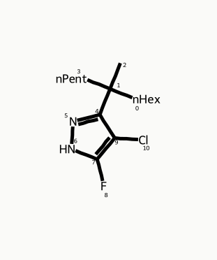 CCCCCCC(C)(CCCCC)c1n[nH]c(F)c1Cl